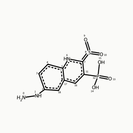 NNc1ccc2[nH]c(=S(=O)=O)c(P(=O)(O)O)cc2c1